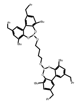 CC(C)Cc1cc(C(C)(C)C)c2op(OCCCCOp3oc4c(C(C)(C)C)cc(CC(C)C)cc4c4cc(CC(C)C)cc(C(C)(C)C)c4o3)oc3c(C(C)(C)C)cc(CC(C)C)cc3c2c1